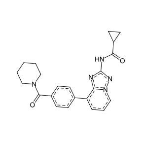 O=C(Nc1nc2c(-c3ccc(C(=O)N4CCCCC4)cc3)cccn2n1)C1CC1